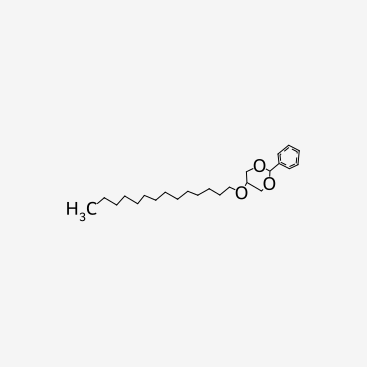 CCCCCCCCCCCCCCOC1COC(c2ccccc2)OC1